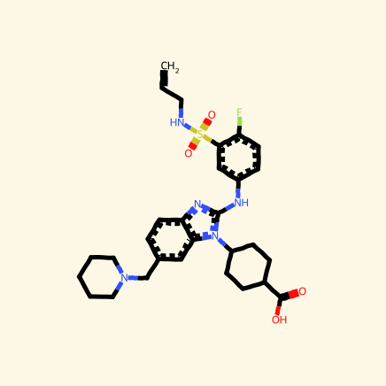 C=CCNS(=O)(=O)c1cc(Nc2nc3ccc(CN4CCCCC4)cc3n2C2CCC(C(=O)O)CC2)ccc1F